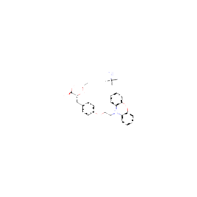 CC(C)(C)N.CCOC(Cc1ccc(OCCN2c3ccccc3Oc3ccccc32)cc1)C(=O)O